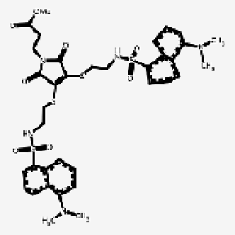 COC(=O)CCN1C(=O)C(SCCNS(=O)(=O)c2cccc3c(N(C)C)cccc23)=C(SCCNS(=O)(=O)c2cccc3c(N(C)C)cccc23)C1=O